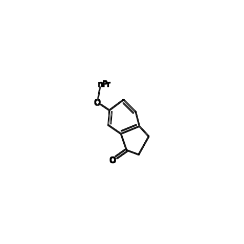 CCCOc1ccc2c(c1)C(=O)CC2